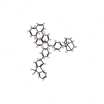 CC1(C)c2ccccc2-c2cc(-c3ccc(N(c4ccc(-c5cccc6cccc(-c7ccccc7)c56)cc4)c4ccc(C56CC7CC(CC(C7)C5)C6)cc4)cc3)ccc21